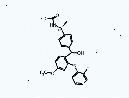 C[C@H](NC(=O)C(F)(F)F)c1ccc(C(O)c2ccc(OC(F)(F)F)cc2Sc2ccccc2F)cc1